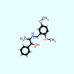 COc1ccc(OC)c(CNC(C)C(O)c2ccccc2)c1